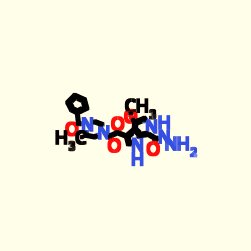 COc1cnc(C(=O)NN)c2[nH]cc(C(=O)C(=O)N3CCN(C(=O)c4ccccc4)[C@H](C)C3)c12